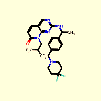 CC(Nc1ncc2ccc(=O)n(CC(C(F)(F)F)C(F)(F)F)c2n1)c1ccc(CN2CCC(F)(F)CC2)cc1